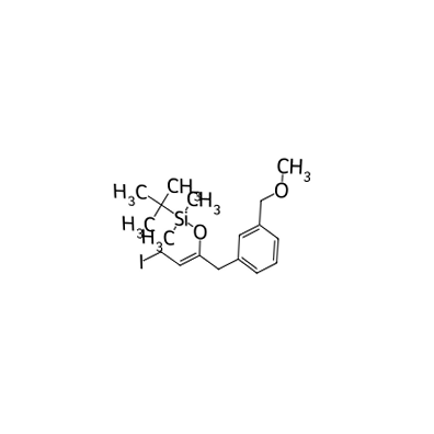 COCc1cccc(CC(=CCI)O[Si](C)(C)C(C)(C)C)c1